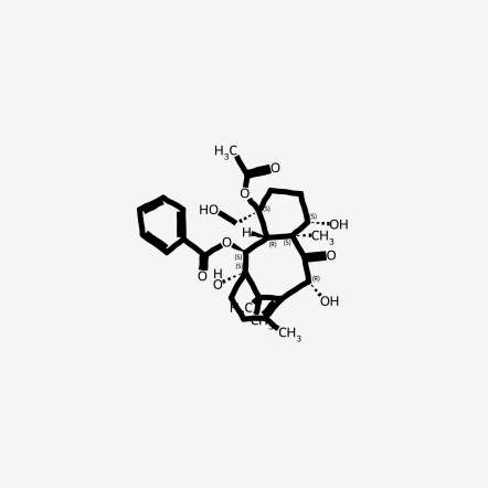 CC(=O)O[C@@]1(CO)CC[C@H](O)[C@@]2(C)C(=O)[C@H](O)C3=C(C)CC[C@@](O)([C@@H](OC(=O)c4ccccc4)[C@H]12)C3(C)C